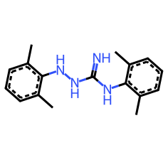 Cc1cccc(C)c1NNC(=N)Nc1c(C)cccc1C